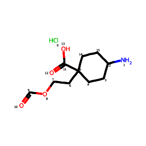 Cl.NC1CCC(CCOC=O)(C(=O)O)CC1